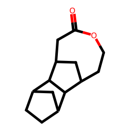 O=C1CC2CC(CCO1)C1C3CCC(C3)C21